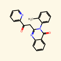 Cc1ccccc1-n1c(CC(=O)c2ccccn2)nc2ccccc2c1=O